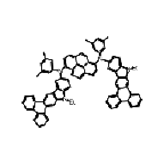 CCn1c2ccc(N(c3cc(C)cc(C)c3)c3ccc4ccc5c(N(c6cc(C)cc(C)c6)c6ccc7c(c6)c6cc8c9ccccc9c9ccccc9c8cc6n7CC)ccc6ccc3c4c65)cc2c2cc3c4ccccc4c4ccccc4c3cc21